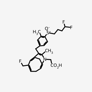 CC1=C(Cc2ccc([S+]([O-])CCCC(F)F)c(C)c2)/C2=C/C(CF)=CC/C=C(\C2)N1CC(=O)O